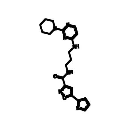 O=C(NCCCNc1ccnc(N2CCCCC2)n1)c1cc(-c2cccs2)on1